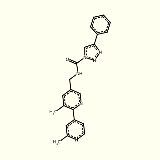 Cc1cc(-c2ncc(CNC(=O)n3cc(-c4ccccc4)nn3)cc2C)ccn1